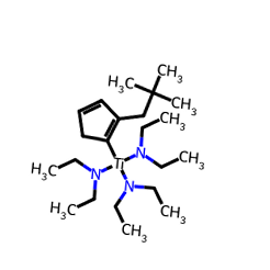 CC[N](CC)[Ti]([C]1=C(CC(C)(C)C)C=CC1)([N](CC)CC)[N](CC)CC